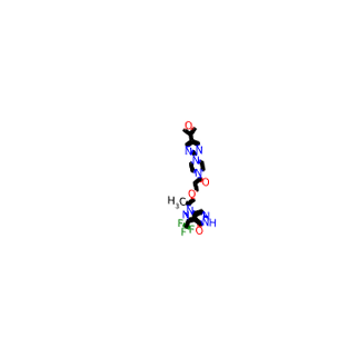 CC(COCCC(=O)N1CCN(c2ncc(C3COC3)cn2)CC1)n1nc(C(F)(F)F)c2c(=O)[nH]ncc21